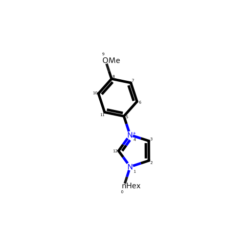 CCCCCCn1cc[n+](-c2ccc(OC)cc2)c1